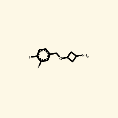 NC1CC(OCc2ccc(F)c(F)c2)C1